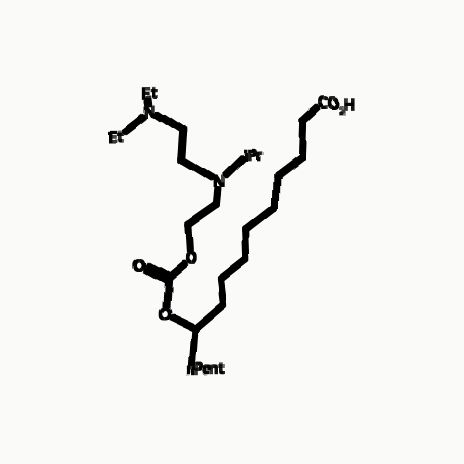 CCCCCC(CCCCCCCCC(=O)O)OC(=O)OCCN(CCN(CC)CC)C(C)C